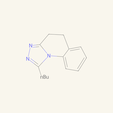 CCCCc1nnc2n1-c1ccccc1CC2